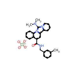 Cc1cccc(CNC(=O)c2cc3c4cccc[n+]4c(N(C)C)n3c3ccccc23)c1.[O-][Cl+3]([O-])([O-])[O-]